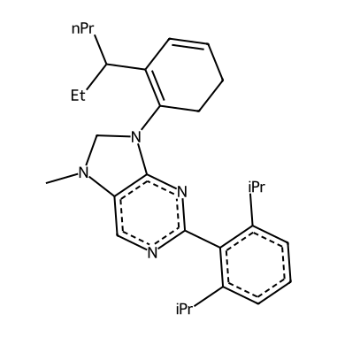 CCCC(CC)C1=C(N2CN(C)c3cnc(-c4c(C(C)C)cccc4C(C)C)nc32)CCC=C1